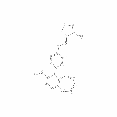 COc1ccc2c(c1-c1cnc(CO[C@H]3CCC[C@@H]3O)nc1)C=CC=NN2